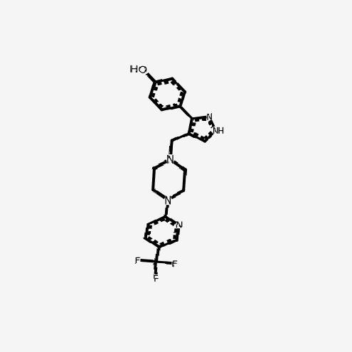 Oc1ccc(-c2n[nH]cc2CN2CCN(c3ccc(C(F)(F)F)cn3)CC2)cc1